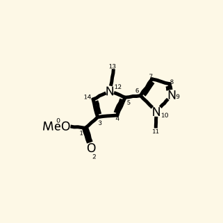 COC(=O)c1cc(-c2ccnn2C)n(C)c1